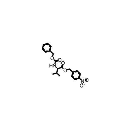 CC(C)[C@H](NC(=O)OCc1ccccc1)C(=O)OCc1ccc([N+](=O)[O-])cc1